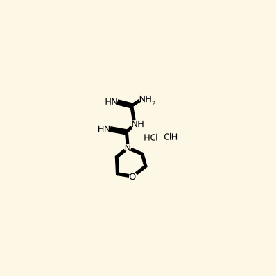 Cl.Cl.N=C(N)NC(=N)N1CCOCC1